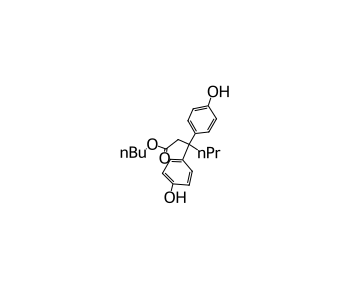 CCCCOC(=O)CC(CCC)(c1ccc(O)cc1)c1ccc(O)cc1